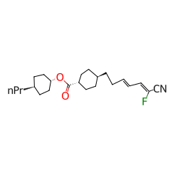 CCC[C@H]1CC[C@H](OC(=O)[C@H]2CC[C@H](CCC=CC=C(F)C#N)CC2)CC1